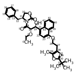 CCO[C@H](C(=O)N1C(=O)OC[C@@H]1Cc1ccccc1)[C@H](O)c1ccc(OCCc2nc(C(C)(C)C)oc2C)c2ccccc12